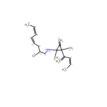 C=C(/C=C\C)C1(C)C(=C)C1(C)NCC(CC)C/C=C\C=C/C